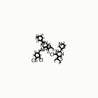 Cc1sc2nc(-c3cccnc3)nc(Cl)c2c1C.Cc1sc2nc(-c3cccnc3)nc(NCc3ccc(Cl)c(Cl)c3)c2c1C